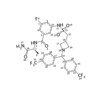 C[C@H](NC(=O)c1cc(F)cc(NS(=O)(=O)CC2CN(C(c3ccc(C(F)(F)F)cc3)c3ccc(C(F)(F)F)cc3)C2)c1)C(N)=O